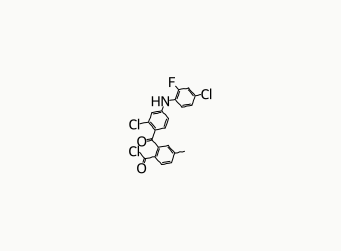 Cc1ccc(C(=O)Cl)c(C(=O)c2ccc(Nc3ccc(Cl)cc3F)cc2Cl)c1